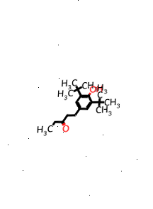 CCC(=O)CCc1cc(C(C)(C)C)c(O)c(C(C)(C)C)c1